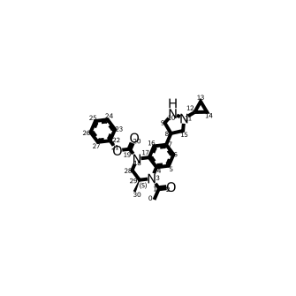 CC(=O)N1c2ccc(C3CNN(C4CC4)C3)cc2N(C(=O)Oc2ccccc2)C[C@@H]1C